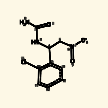 NC(=O)NC(C[N+](=O)[O-])c1ccccc1Cl